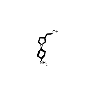 Nc1ccc(N2CCC(CCO)C2)cc1